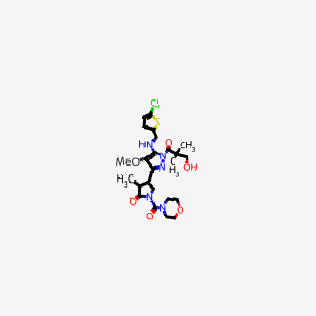 COc1c(C2CN(C(=O)N3CCOCC3)C(=O)C2C)nn(C(=O)C(C)(C)CO)c1NCc1ccc(Cl)s1